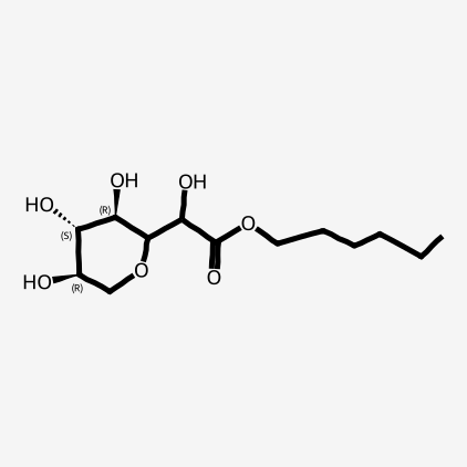 CCCCCCOC(=O)C(O)C1OC[C@@H](O)[C@H](O)[C@H]1O